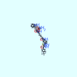 CC(C)(C)c1ccc(C(=O)NC(=S)Nc2ccc(NC(=O)CCCCCCNC(=O)[C@H](Cc3c[nH]c4ccccc34)OC(N)=O)cc2)cc1